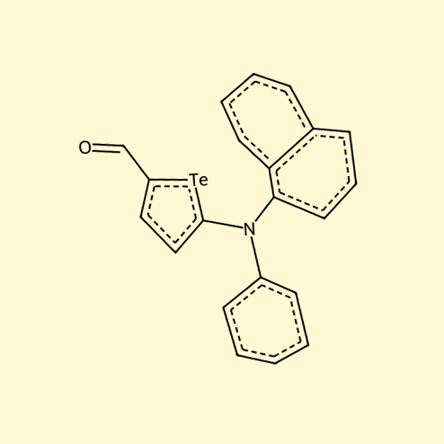 O=Cc1ccc(N(c2ccccc2)c2cccc3ccccc23)[te]1